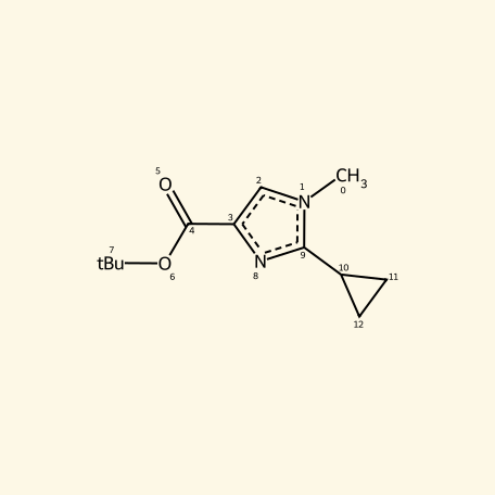 Cn1cc(C(=O)OC(C)(C)C)nc1C1CC1